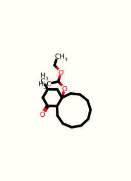 CCOC(C)OC12CCCCCCCCCC1C(=O)CC(C)C2